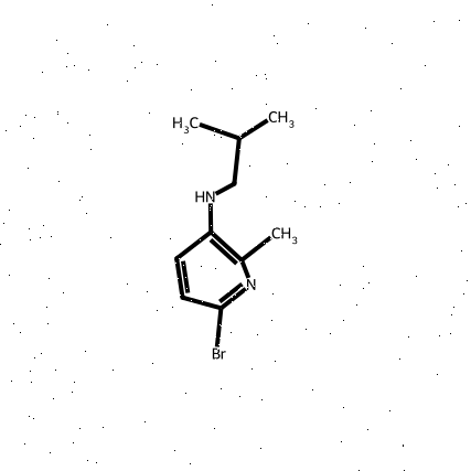 Cc1nc(Br)ccc1NCC(C)C